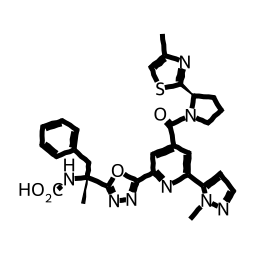 Cc1csc([C@H]2CCCN2C(=O)c2cc(-c3nnc([C@@](C)(Cc4ccccc4)NC(=O)O)o3)nc(-c3ccnn3C)c2)n1